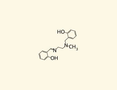 CN(CC/N=C/c1ccccc1O)Cc1ccccc1O